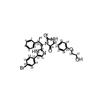 C[C@H](c1ccccc1)[C@@H](c1ncc(-c2ccc(Br)cc2)[nH]1)N1C(=O)N[C@H](c2ccc(OCCO)cc2)C1=O